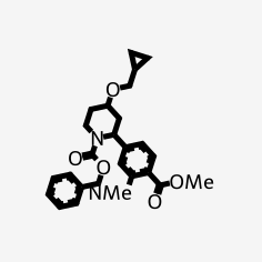 CNc1cc(C2CC(OCC3CC3)CCN2C(=O)OCc2ccccc2)ccc1C(=O)OC